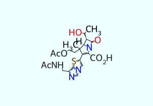 CC(=O)NCc1ncn2cc(C3=C(C(=O)O)N4C(=O)[C@H](C(C)O)[C@@H]4[C@@]3(C)CCOC(C)=O)sc12